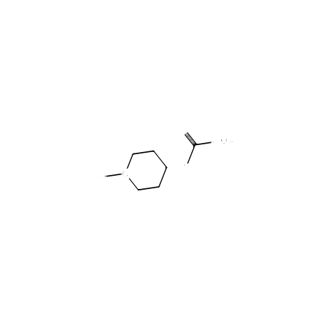 CC[C@@H]1CN(Cl)CC[C@@H]1CC(=O)OC